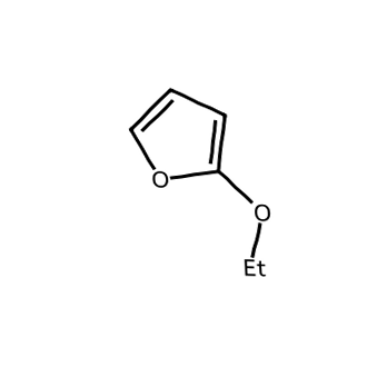 [CH2]COc1ccco1